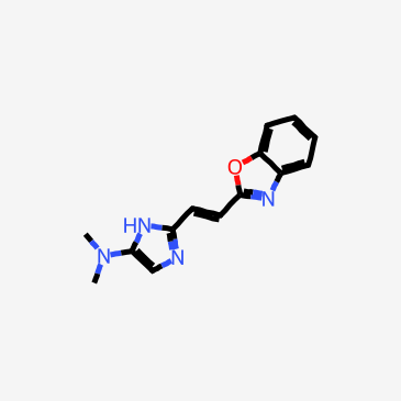 CN(C)c1cnc(/C=C/c2nc3ccccc3o2)[nH]1